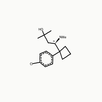 CN[C@H](CC(C)(C)O)C1(c2ccc(Cl)cc2)CCC1